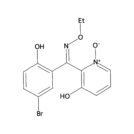 CCON=C(c1cc(Br)ccc1O)c1c(O)ccc[n+]1[O-]